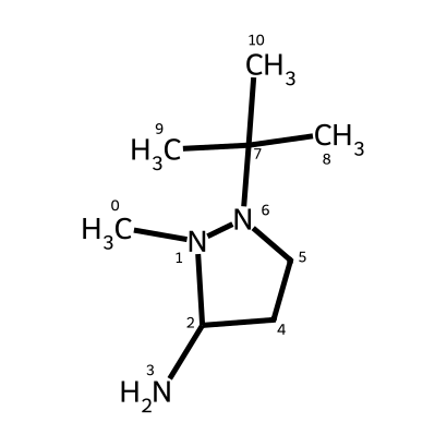 CN1C(N)CCN1C(C)(C)C